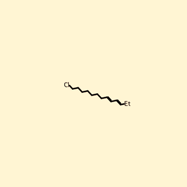 CCC=CC=CCCCCCCCCl